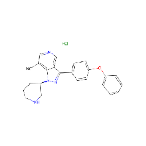 Cl.N#Cc1cncc2c(-c3ccc(Oc4ccccc4)cc3)nn([C@@H]3CCCNC3)c12